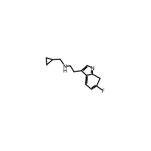 FC1=CC=C2C(CCNCC3CC3)=CN=C2C1